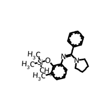 Cc1cccc(N=C(c2ccccc2)N2CCCC2)c1O[Si](C)(C)C